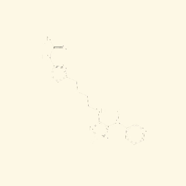 CN(c1cccnc1)c1n[s+]([O-])nc1NCCSCc1csc(NC(=N)N)n1